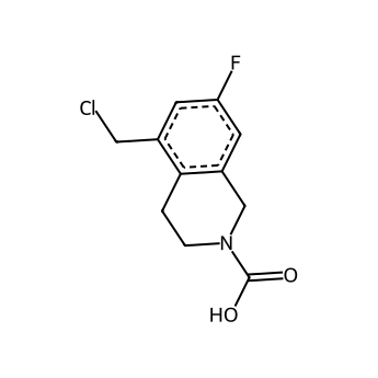 O=C(O)N1CCc2c(CCl)cc(F)cc2C1